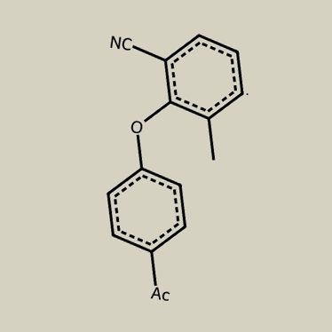 CC(=O)c1ccc(Oc2c(C)[c]ccc2C#N)cc1